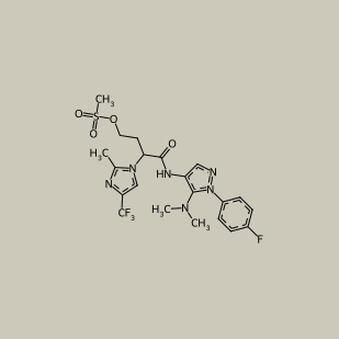 Cc1nc(C(F)(F)F)cn1C(CCOS(C)(=O)=O)C(=O)Nc1cnn(-c2ccc(F)cc2)c1N(C)C